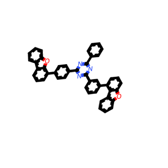 c1ccc(-c2nc(-c3ccc(-c4cccc5c4oc4ccccc45)cc3)nc(-c3cccc(-c4cccc5oc6ccccc6c45)c3)n2)cc1